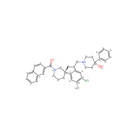 O=C(c1ccc2ccccc2c1)N1CCC[C@@](CCCN2CCC(O)(c3ccccc3)CC2)(c2ccc(Cl)c(Cl)c2)C1